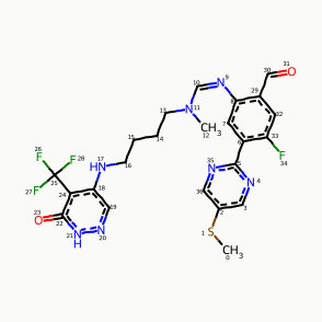 CSc1cnc(-c2cc(/N=C\N(C)CCCCNc3cn[nH]c(=O)c3C(F)(F)F)c(C=O)cc2F)nc1